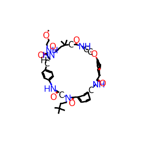 COCCNC(=O)[C@@H]1Cc2ccc(cc2)NC(=O)CN(CCC(C)(C)C)C(=O)c2cccc(c2)CNC(=O)c2ccc(cc2)OCCNC(=O)CC(C)(C)CC(=O)N1